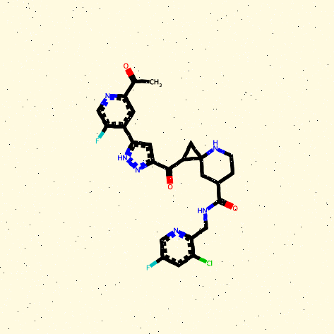 CC(=O)c1cc(-c2cc(C(=O)C3CC34CC(C(=O)NCc3ncc(F)cc3Cl)CCN4)n[nH]2)c(F)cn1